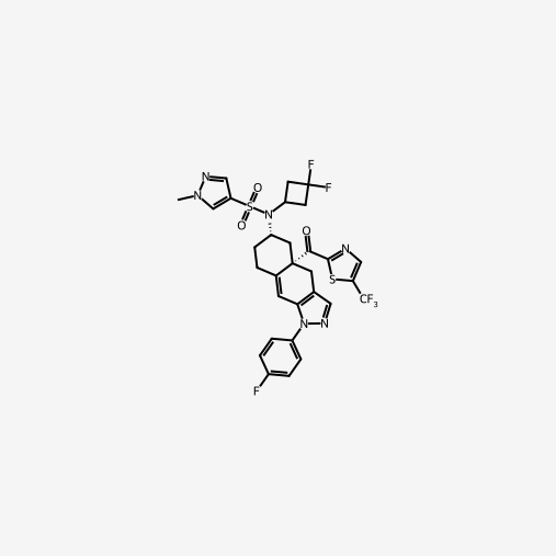 Cn1cc(S(=O)(=O)N(C2CC(F)(F)C2)[C@H]2CCC3=Cc4c(cnn4-c4ccc(F)cc4)C[C@]3(C(=O)c3ncc(C(F)(F)F)s3)C2)cn1